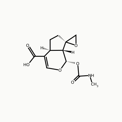 CNC(=O)O[C@@H]1OC=C(C(=O)O)[C@H]2CC[C@@]3(CO3)[C@H]12